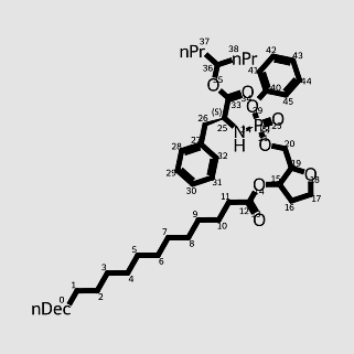 CCCCCCCCCCCCCCCCCCCCCC(=O)OC1CCOC1CO[P@@](=O)(N[C@@H](Cc1ccccc1)C(=O)OC(CCC)CCC)Oc1ccccc1